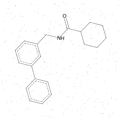 O=C(N[CH]c1cccc(-c2ccccc2)c1)C1CCCCC1